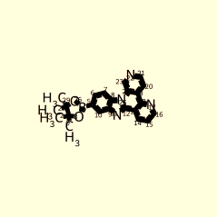 CC1(C)OB(c2ccc3c(c2)nc2c4cccnc4c4ccncc4n32)OC1(C)C